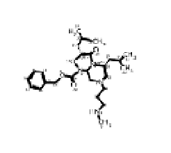 CNCCCN1CC2N(C(=O)OCc3ccccc3)O[C@H](CC(C)C)C(=O)N2[C@@H](CC(C)C)C1